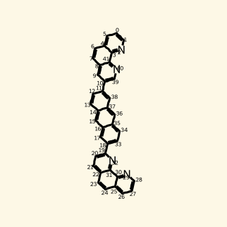 c1cnc2c(c1)ccc1cc(-c3ccc4cc5cc(-c6ccc7ccc8cccnc8c7n6)ccc5cc4c3)cnc12